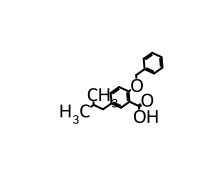 CC(C)Cc1ccc(OCc2ccccc2)c(C(=O)O)c1